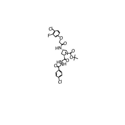 CC(C)(C)OC(=O)N1C[C@@H](NC(=O)COc2ccc(Cl)c(F)c2)C[C@@H]1C(=O)NNC(=O)c1ccc(Cl)cc1